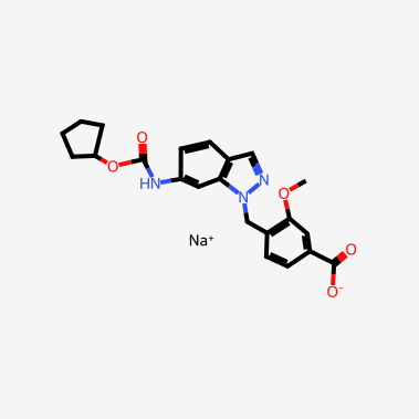 COc1cc(C(=O)[O-])ccc1Cn1ncc2ccc(NC(=O)OC3CCCC3)cc21.[Na+]